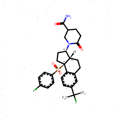 NC(=O)C1CCC(=O)N([C@@H]2CC[C@@]3(S(=O)(=O)c4ccc(F)cc4)c4ccc(C(F)(C(F)(F)F)C(F)(F)F)cc4CC[C@@H]23)C1